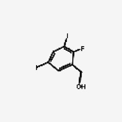 OCc1cc(I)cc(I)c1F